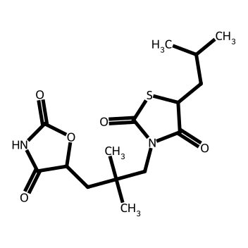 CC(C)CC1SC(=O)N(CC(C)(C)CC2OC(=O)NC2=O)C1=O